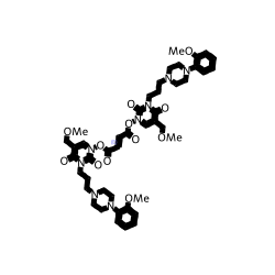 COCc1cn(OC(=O)/C=C/C(=O)On2cc(COC)c(=O)n(CCCN3CCN(c4ccccc4OC)CC3)c2=O)c(=O)n(CCCN2CCN(c3ccccc3OC)CC2)c1=O